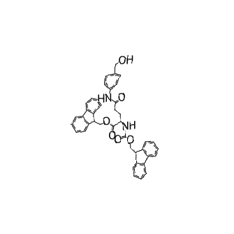 O=C(CCC(NC(=O)OCC1c2ccccc2-c2ccccc21)C(=O)OCC1c2ccccc2-c2ccccc21)Nc1ccc(CO)cc1